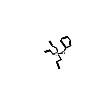 C=CC[Si](CC=C)(CC=C)Oc1ccccc1